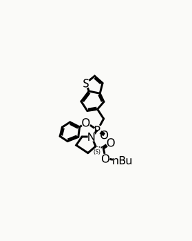 CCCCOC(=O)[C@@H]1CCCN1P(=O)(Cc1ccc2sccc2c1)Oc1ccccc1